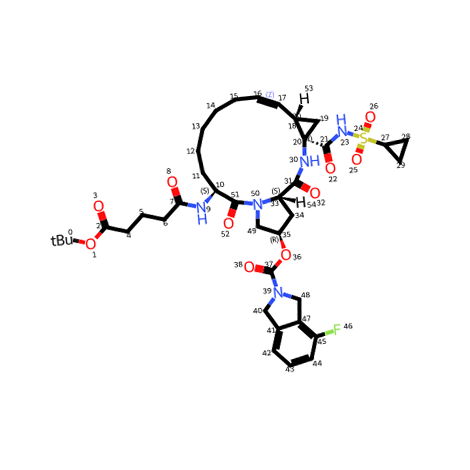 CC(C)(C)OC(=O)CCCC(=O)N[C@H]1CCCCC/C=C\[C@@H]2C[C@@]2(C(=O)NS(=O)(=O)C2CC2)NC(=O)[C@@H]2C[C@@H](OC(=O)N3Cc4cccc(F)c4C3)CN2C1=O